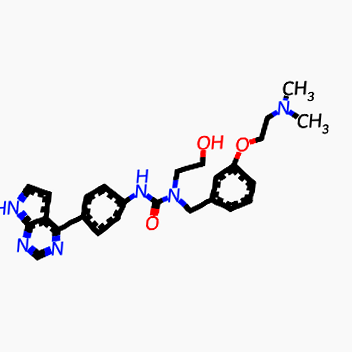 CN(C)CCOc1cccc(CN(CCO)C(=O)Nc2ccc(-c3ncnc4[nH]ccc34)cc2)c1